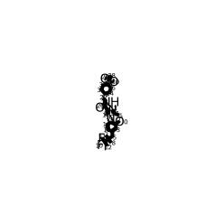 COc1cc(CC(C)(C)C(F)(F)F)ccc1-n1cc(C(=O)NC[C@H]2CC[C@H](S(C)(=O)=O)CC2)nc1C